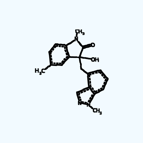 Cc1ccc2c(c1)C(O)(Cc1cccc3c1cnn3C)C(=O)N2C